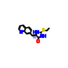 CCSC1NC(=O)/C(=C/c2ccc3cccnc3c2)N1